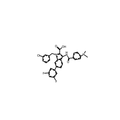 CN(C)c1ccc(C(=O)Nc2c(C(=O)O)n(Cc3cccc(Cl)c3)c3cc(-c4cc(F)cc(F)c4)ccc23)cc1